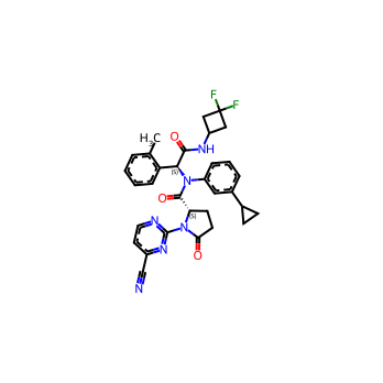 Cc1ccccc1[C@@H](C(=O)NC1CC(F)(F)C1)N(C(=O)[C@@H]1CCC(=O)N1c1nccc(C#N)n1)c1cccc(C2CC2)c1